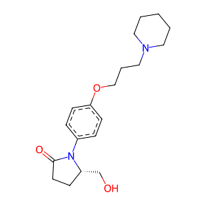 O=C1CC[C@@H](CO)N1c1ccc(OCCCN2CCCCC2)cc1